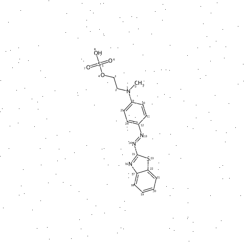 CN(CCOS(=O)(=O)O)c1ccc(N=Nc2nc3ccccc3s2)cc1